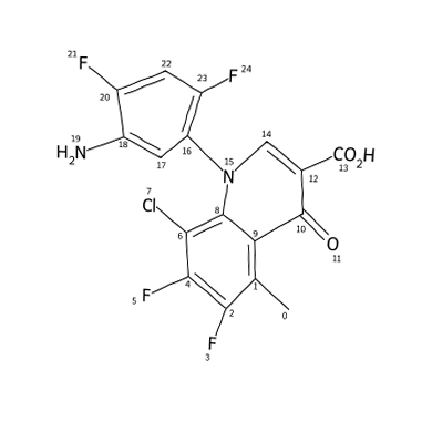 Cc1c(F)c(F)c(Cl)c2c1c(=O)c(C(=O)O)cn2-c1cc(N)c(F)cc1F